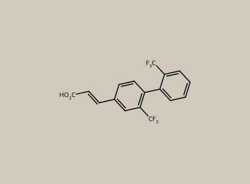 O=C(O)C=Cc1ccc(-c2ccccc2C(F)(F)F)c(C(F)(F)F)c1